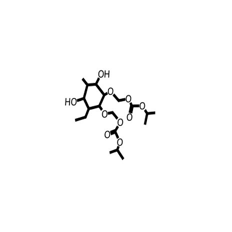 CCC1C(O)C(C)C(O)C(OCOC(=O)OC(C)C)C1OCOC(=O)OC(C)C